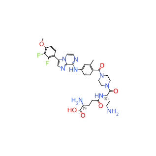 COc1ccc(-c2cnc3c(Nc4ccc(C(=O)N5CCN(C(=O)[C@H](CCN)NC(=O)CC[C@H](N)C(=O)O)CC5)c(C)c4)nccn23)c(F)c1F